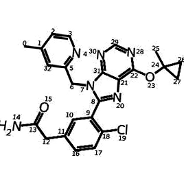 Cc1ccnc(Cn2c(-c3cc(CC(N)=O)ccc3Cl)nc3c(OC4(C)CC4)ncnc32)c1